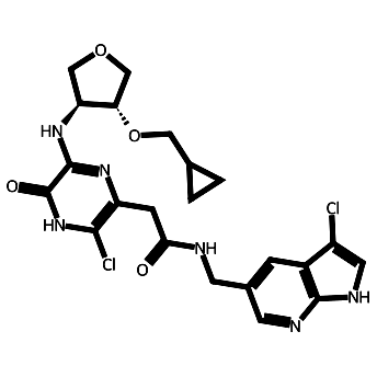 O=C(Cc1nc(N[C@H]2COC[C@@H]2OCC2CC2)c(=O)[nH]c1Cl)NCc1cnc2[nH]cc(Cl)c2c1